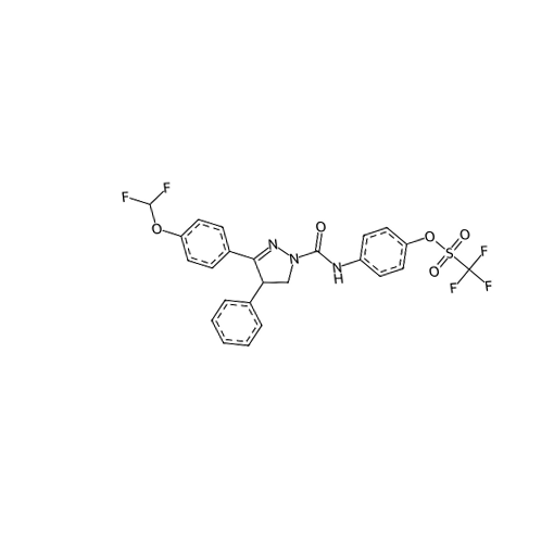 O=C(Nc1ccc(OS(=O)(=O)C(F)(F)F)cc1)N1CC(c2ccccc2)C(c2ccc(OC(F)F)cc2)=N1